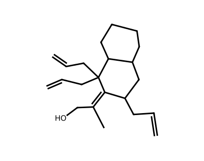 C=CCC1CC2CCCCC2C(CC=C)(CC=C)/C1=C(/C)CO